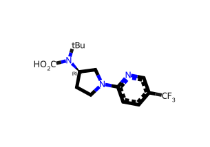 CC(C)(C)N(C(=O)O)[C@@H]1CCN(c2ccc(C(F)(F)F)cn2)C1